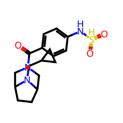 O=C(c1ccc(N[SH](=O)=O)cc1)N1CC2CCC(C1)N2CC1CC1